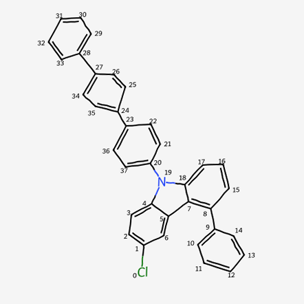 Clc1ccc2c(c1)c1c(-c3ccccc3)cccc1n2-c1ccc(-c2ccc(-c3ccccc3)cc2)cc1